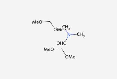 CN(C)C=O.COCOC.COCOC